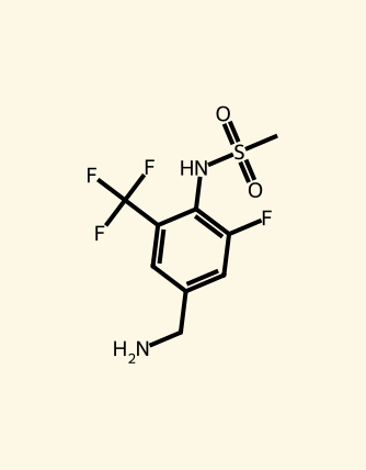 CS(=O)(=O)Nc1c(F)cc(CN)cc1C(F)(F)F